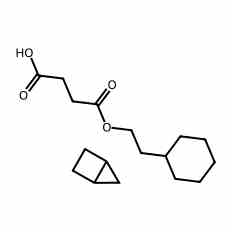 C1CC2CC12.O=C(O)CCC(=O)OCCC1CCCCC1